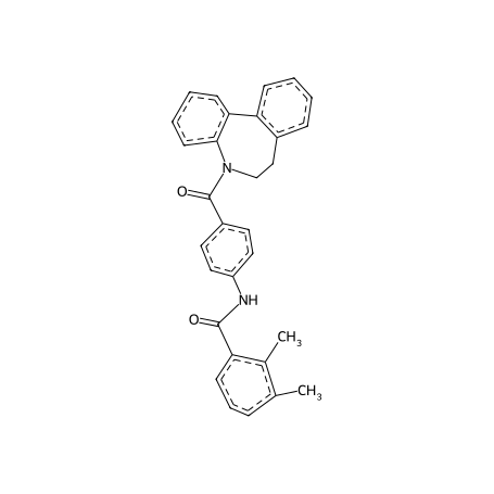 Cc1cccc(C(=O)Nc2ccc(C(=O)N3CCc4ccccc4-c4ccccc43)cc2)c1C